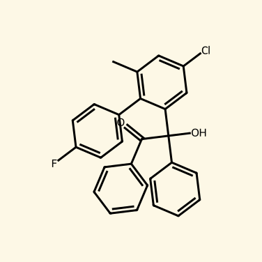 Cc1cc(Cl)cc(C(O)(C(=O)c2ccccc2)c2ccccc2)c1-c1ccc(F)cc1